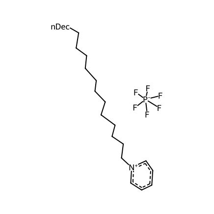 CCCCCCCCCCCCCCCCCCCCCC[n+]1ccccc1.F[P-](F)(F)(F)(F)F